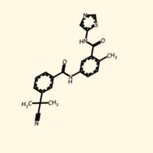 Cc1ccc(NC(=O)c2cccc(C(C)(C)C#N)c2)cc1C(=O)Nc1cncs1